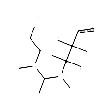 C=CC(C)(C)C(C)(C)N(C)C(C)N(C)CCC=O